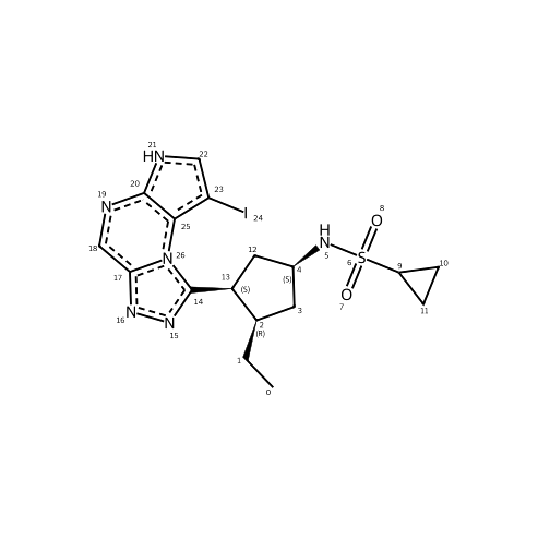 CC[C@@H]1C[C@H](NS(=O)(=O)C2CC2)C[C@@H]1c1nnc2cnc3[nH]cc(I)c3n12